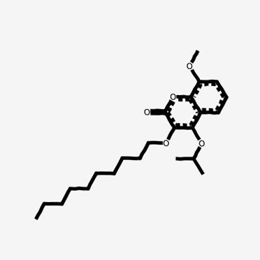 CCCCCCCCCCOc1c(OC(C)C)c2cccc(OC)c2oc1=O